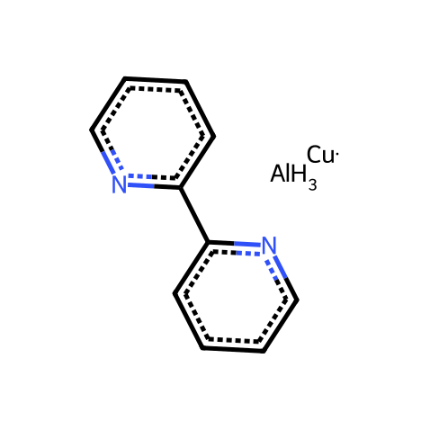 [AlH3].[Cu].c1ccc(-c2ccccn2)nc1